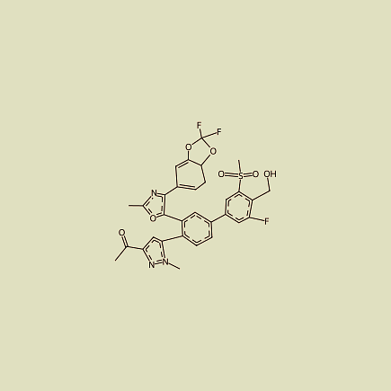 CC(=O)c1cc(-c2ccc(-c3cc(F)c(CO)c(S(C)(=O)=O)c3)cc2-c2oc(C)nc2C2=CCC3OC(F)(F)OC3=C2)n(C)n1